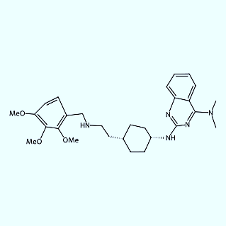 COc1ccc(CNCC[C@H]2CC[C@@H](Nc3nc(N(C)C)c4ccccc4n3)CC2)c(OC)c1OC